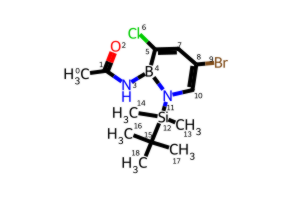 CC(=O)NB1C(Cl)=CC(Br)=CN1[Si](C)(C)C(C)(C)C